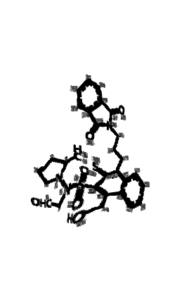 CC1CCCN1N(CC=O)S(=O)(=O)C1=C(CO)c2ccccc2C(CCCN2C(=O)c3ccccc3C2=O)C1=S